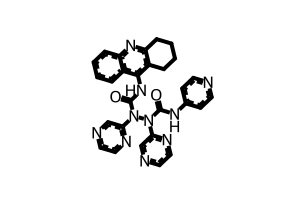 O=C(Nc1ccncc1)N(c1cnccn1)N(C(=O)Nc1c2c(nc3ccccc13)CCCC2)c1cnccn1